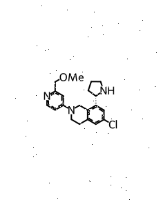 COCc1cc(N2CCc3cc(Cl)cc([C@@H]4CCCN4)c3C2)ccn1